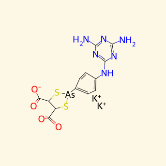 Nc1nc(N)nc(Nc2ccc([As]3SC(C(=O)[O-])C(C(=O)[O-])S3)cc2)n1.[K+].[K+]